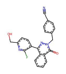 N#Cc1ccc(Cn2nc(-c3ccc(CO)nc3F)c3ccccc3c2=O)cc1